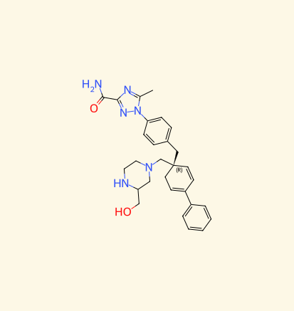 Cc1nc(C(N)=O)nn1-c1ccc(C[C@@]2(CN3CCNC(CO)C3)C=CC(c3ccccc3)=CC2)cc1